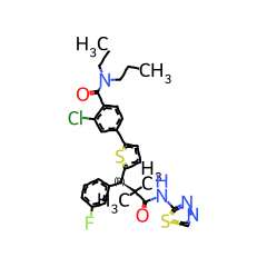 CCCN(CCC)C(=O)c1ccc(-c2ccc([C@H](c3cccc(F)c3)C(C)(C)C(=O)Nc3nncs3)s2)cc1Cl